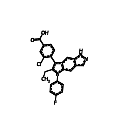 CCc1c(-c2ccc(C(=O)O)cc2Cl)c2cc3[nH]ncc3cc2n1-c1ccc(F)cc1